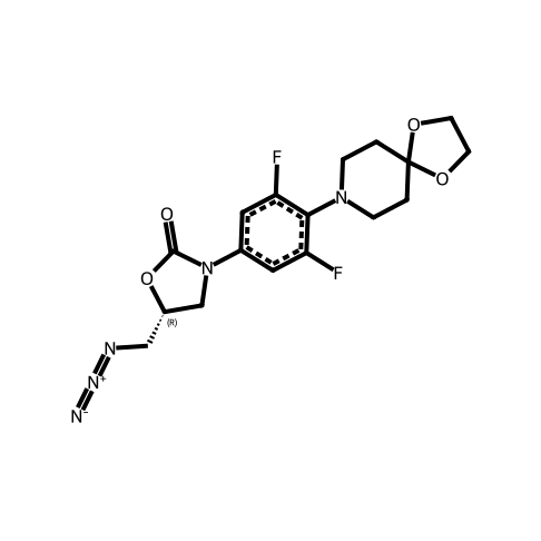 [N-]=[N+]=NC[C@H]1CN(c2cc(F)c(N3CCC4(CC3)OCCO4)c(F)c2)C(=O)O1